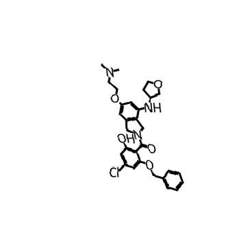 CN(C)CCOc1cc2c(c(N[C@H]3CCOC3)c1)CN(C(=O)c1c(O)cc(Cl)cc1OCc1ccccc1)C2